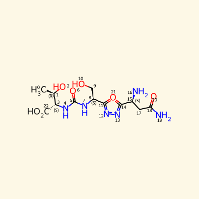 C[C@@H](O)[C@H](NC(=O)N[C@@H](CO)c1nnc([C@@H](N)CC(N)=O)o1)C(=O)O